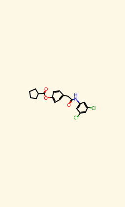 O=C(Cc1ccc(OC(=O)C2CCCC2)cc1)Nc1cc(Cl)cc(Cl)c1